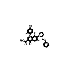 O=C(O)c1cn(-c2ccc(O)cc2F)c2c(F)c(N3CCC[C@@H]3COc3ccccn3)c(F)cc2c1=O